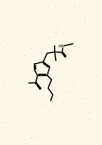 C=C(C)c1ccc(CC(C)(C)C(=C)NC)cc1CCCC